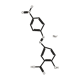 O=C(O)c1cc(N=Nc2ccc([N+](=O)[O-])cc2)ccc1O.[Na+]